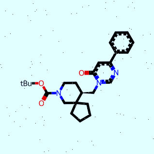 CC(C)(C)OC(=O)N1CC[C@@H](Cn2cnc(-c3ccccc3)cc2=O)C2(CCCC2)C1